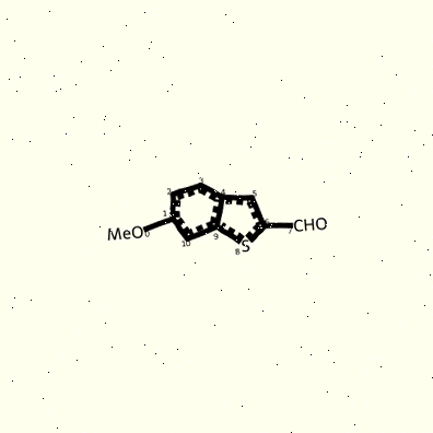 COc1ccc2cc(C=O)sc2c1